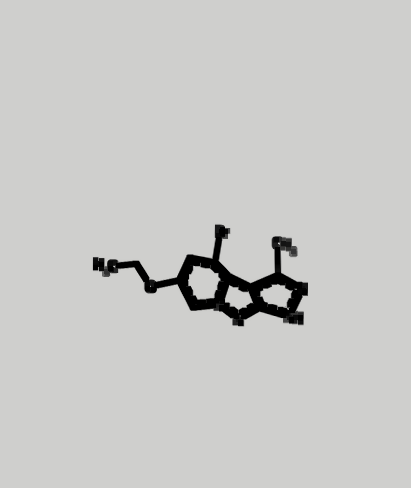 CCOc1cc(Br)c2c3c(C)n[nH]c3nn2c1